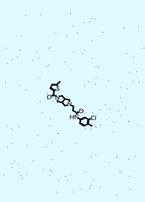 Cc1ccc(C(=O)N2CC3CN(CCC(=O)Nc4ccc(C)c(Cl)c4)CC3C2)s1